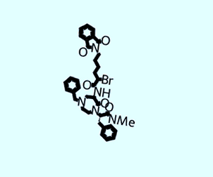 CNC(=O)[C@H](Cc1ccccc1)N1CCN(Cc2ccccc2)CC(NC(=O)C(Br)CCCCN2C(=O)c3ccccc3C2=O)C1=O